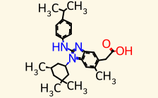 Cc1cc2c(cc1CC(=O)O)nc(Nc1ccc(C(C)C)cc1)n2[C@@H]1C[C@H](C)CC(C)(C)C1